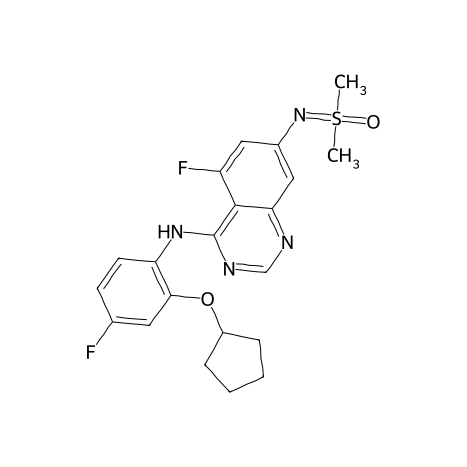 CS(C)(=O)=Nc1cc(F)c2c(Nc3ccc(F)cc3OC3CCCC3)ncnc2c1